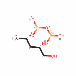 CCCCCO.OP(O)OP(O)O